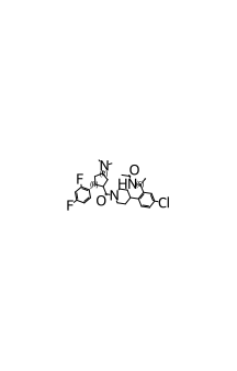 CC(=O)N[C@@H](C)c1cc(Cl)ccc1C1CCN(C(=O)C2C[C@H](N(C)C)C[C@H]2c2ccc(F)cc2F)CC1